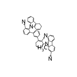 CC12C=C(C#N)C=CC1c1ccccc1N2C1=CC=CCC(c2cccc(-c3cccc(C#N)c3-n3c4c(c5ccccc53)CCC=C4)c2)=C1C#N